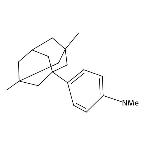 CNc1ccc(C23CC4CC(C)(CC(C)(C4)C2)C3)cc1